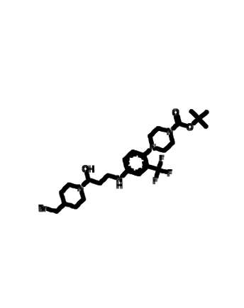 CC(C)(C)OC(=O)N1CCN(c2ccc(NCCC(O)N3CCC(CBr)CC3)cc2C(F)(F)F)CC1